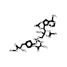 COC(=O)[C@H](C)NP(=O)(OC[C@@](C#N)(OC)[C@@H](OC(=O)C(C)C)[C@@H](OC(=O)C(C)C)c1ccc2c(N)ncnn12)Oc1ccc(C[C@H](N)C(=O)OC(C)C)cc1